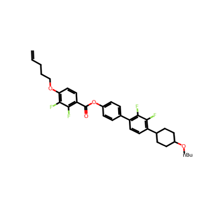 C=CCCCOc1ccc(C(=O)Oc2ccc(-c3ccc(C4CCC(OCCCC)CC4)c(F)c3F)cc2)c(F)c1F